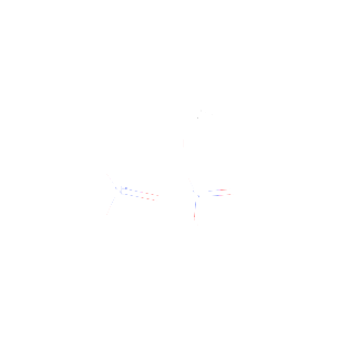 O.O=[N+]([O-])[O-].O=[N+]([O-])[O-].[Zr+2]